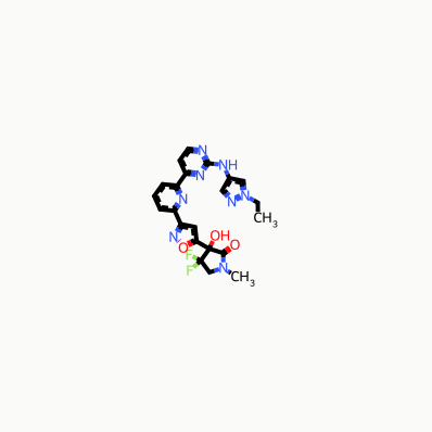 CCn1cc(Nc2nccc(-c3cccc(-c4cc(C5(O)C(=O)N(C)CC5(F)F)on4)n3)n2)cn1